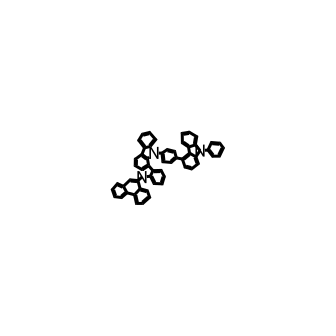 c1ccc(-n2c3ccccc3c3c(-c4ccc(-n5c6ccccc6c6ccc7c(c8ccccc8n7-c7cc8ccccc8c8ccccc78)c65)cc4)cccc32)cc1